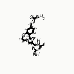 CC(C)N/C(=N\C=N)c1cn2c(n1)-c1ccc(COC(N)=O)cc1OCC2